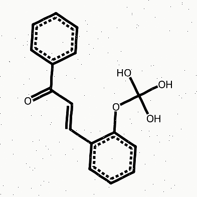 O=C(C=Cc1ccccc1OC(O)(O)O)c1ccccc1